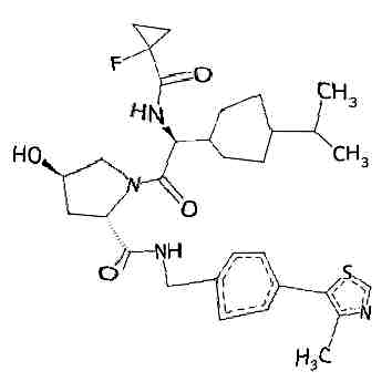 Cc1ncsc1-c1ccc(CNC(=O)[C@@H]2C[C@@H](O)CN2C(=O)[C@@H](NC(=O)C2(F)CC2)C2CCC(C(C)C)CC2)cc1